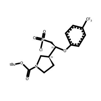 CC(C)(C)OC(=O)N1CC[C@H]([C@@H](CS(=O)(=O)Cl)Oc2ccc(C(F)(F)F)cc2)C1